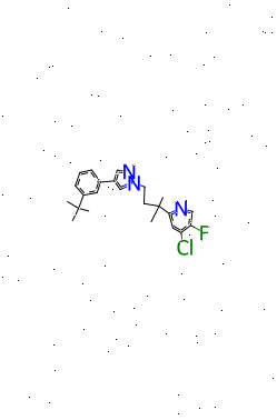 CC(C)(C)c1cccc(-c2cnn(CCC(C)(C)c3cc(Cl)c(F)cn3)c2)c1